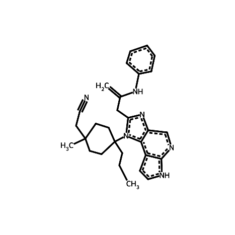 C=C(Cc1nc2cnc3[nH]ccc3c2n1C1(CCC)CCC(C)(CC#N)CC1)Nc1ccccc1